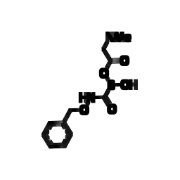 CNCC(=O)OB(O)C(=O)NOCc1ccccc1